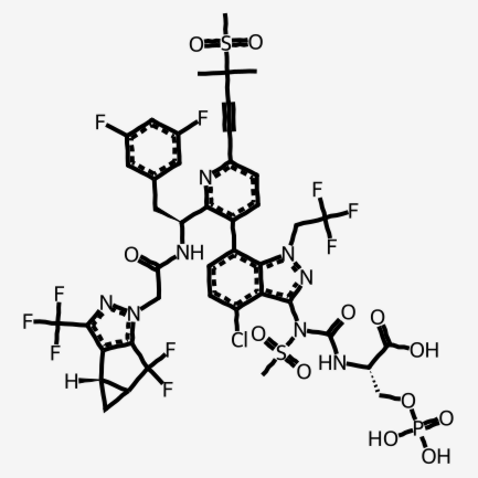 CC(C)(C#Cc1ccc(-c2ccc(Cl)c3c(N(C(=O)N[C@@H](COP(=O)(O)O)C(=O)O)S(C)(=O)=O)nn(CC(F)(F)F)c23)c([C@H](Cc2cc(F)cc(F)c2)NC(=O)Cn2nc(C(F)(F)F)c3c2C(F)(F)C2C[C@H]32)n1)S(C)(=O)=O